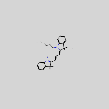 CC(=O)NCCCN1/C(=C\C=C\C2=[N+](C)c3ccccc3C2(C)C)C(C)(C)c2ccccc21